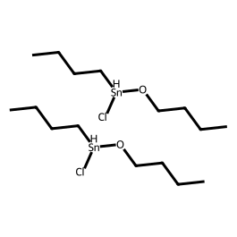 CCCC[O][SnH]([Cl])[CH2]CCC.CCCC[O][SnH]([Cl])[CH2]CCC